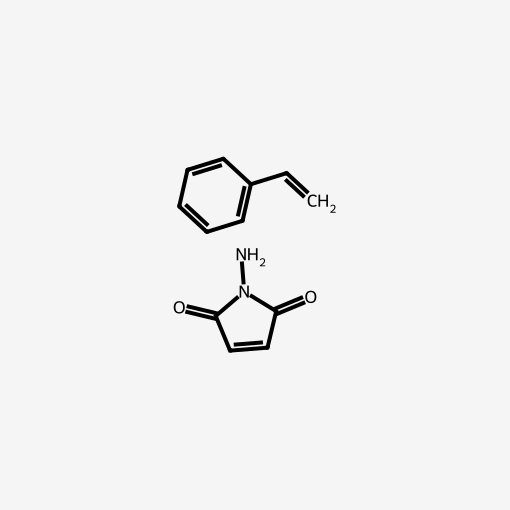 C=Cc1ccccc1.NN1C(=O)C=CC1=O